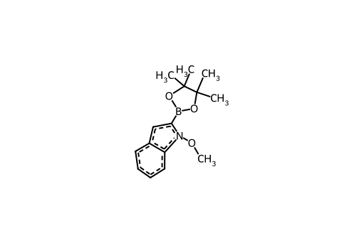 COn1c(B2OC(C)(C)C(C)(C)O2)cc2ccccc21